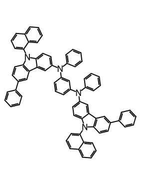 c1ccc(-c2ccc3c(c2)c2cc(N(c4ccccc4)c4cccc(N(c5ccccc5)c5ccc6c(c5)c5cc(-c7ccccc7)ccc5n6-c5cccc6ccccc56)c4)ccc2n3-c2cccc3ccccc23)cc1